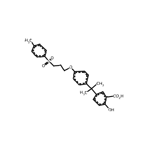 Cc1ccc(S(=O)(=O)CCCOc2ccc(C(C)(C)c3ccc(O)c(C(=O)O)c3)cc2)cc1